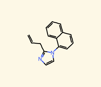 C=CCc1nccn1-c1cccc2ccccc12